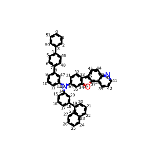 c1ccc(-c2ccc(-c3cccc(N(c4cccc(-c5cccc6ccccc56)c4)c4ccc5c(c4)oc4c6cccnc6ccc54)c3)cc2)cc1